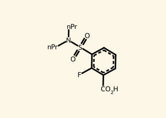 CCCN(CCC)S(=O)(=O)c1cccc(C(=O)O)c1F